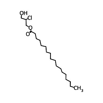 CCCCCCCCCCCCCCCCCC(=O)OCC(Cl)CO